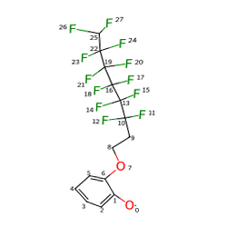 [O]c1ccccc1OCCC(F)(F)C(F)(F)C(F)(F)C(F)(F)C(F)(F)C(F)F